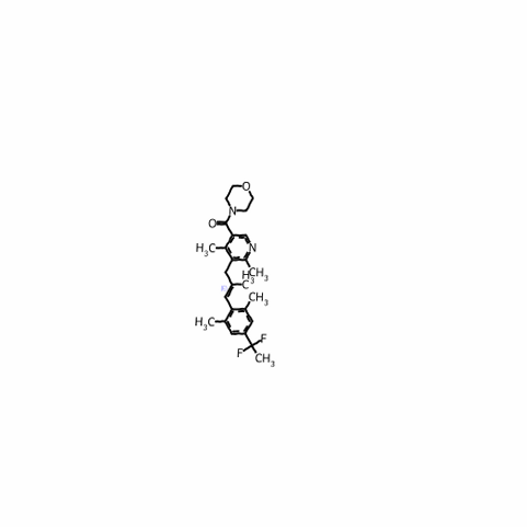 C/C(=C\c1c(C)cc(C(C)(F)F)cc1C)Cc1c(C)ncc(C(=O)N2CCOCC2)c1C